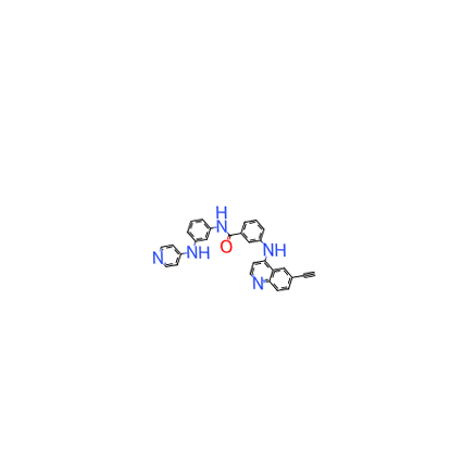 C#Cc1ccc2nccc(Nc3cccc(C(=O)Nc4cccc(Nc5ccncc5)c4)c3)c2c1